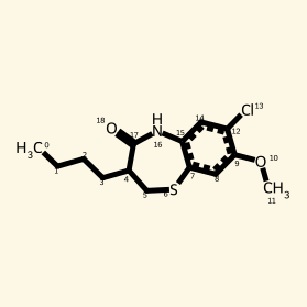 CCCCC1CSc2cc(OC)c(Cl)cc2NC1=O